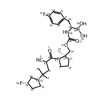 CC(C)(CC(C#N)C(=O)N1CCC[C@]1(C)COC(=O)N[C@@H](Cc1ccc(F)cc1)B(O)O)N1CC[C@H](F)C1